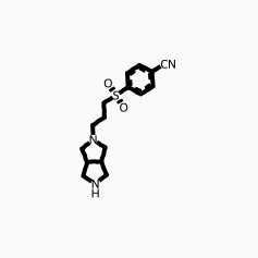 N#Cc1ccc(S(=O)(=O)CCCN2CC3CNCC3C2)cc1